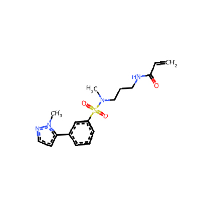 C=CC(=O)NCCCN(C)S(=O)(=O)c1cccc(-c2ccnn2C)c1